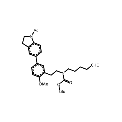 COc1ccc(-c2ccc3c(c2)CCN3C(C)=O)cc1CCN(CCCCC=O)C(=O)OC(C)(C)C